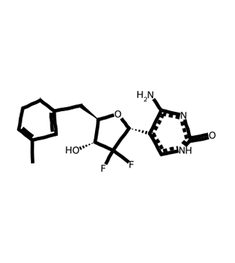 CC1=CC[CH]C(C[C@H]2O[C@H](c3c[nH]c(=O)nc3N)C(F)(F)[C@@H]2O)=C1